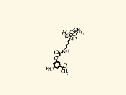 CC(=O)c1cc(O)cc(OCC(=O)NCCCCCNC(=O)OC(C)(C)C)c1